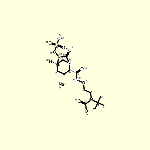 CC(C)(C)N(CCONC(=O)[C@@H]1CC[C@@H]2CN1C(=O)N2OS(=O)(=O)O)C(=O)[O-].[Na+]